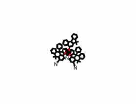 CC1(C)c2ccccc2-c2c1cc(-c1cc3c4c5c(c(C#N)cc4n4c6cc(C#N)c7c(c6c(c1)c34)C(c1ccccc1)(c1ccccc1)c1ccccc1C7(C)C)C(C)(C)c1ccccc1C5(c1ccccc1)c1ccccc1)c1ccccc21